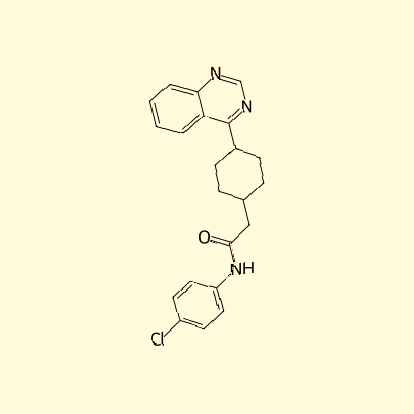 O=C(CC1CCC(c2ncnc3ccccc23)CC1)Nc1ccc(Cl)cc1